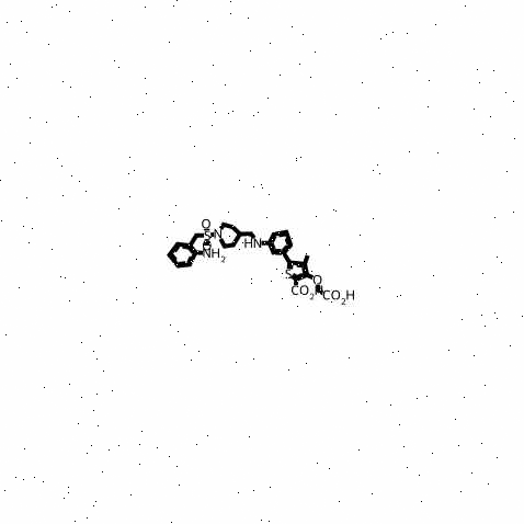 Cc1c(-c2cccc(NCC3CCN(S(=O)(=O)Cc4ccccc4N)CC3)c2)sc(C(=O)O)c1OCC(=O)O